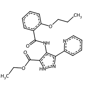 CCCOc1ccccc1C(=O)Nc1c(-c2ccccn2)n[nH]c1C(=O)OCC